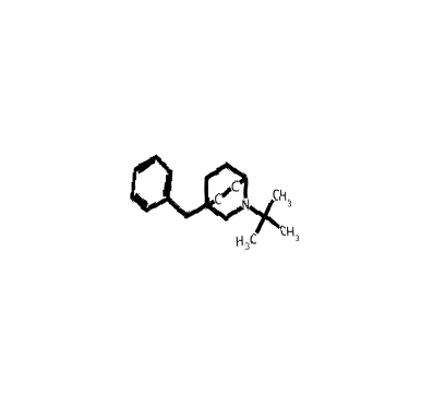 CC(C)(C)N1CC2(Cc3ccccc3)CCC1CC2